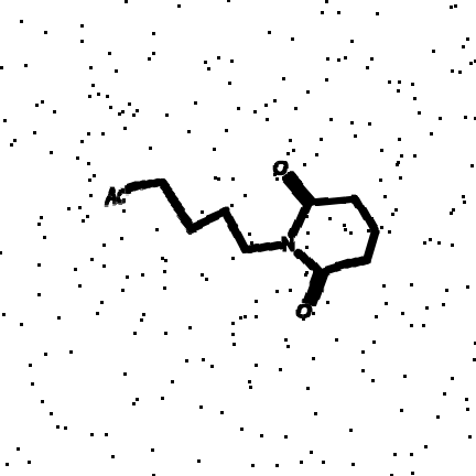 CC(=O)CCCCN1C(=O)CCCC1=O